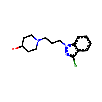 OC1CCN(CCCn2nc(Br)c3ccccc32)CC1